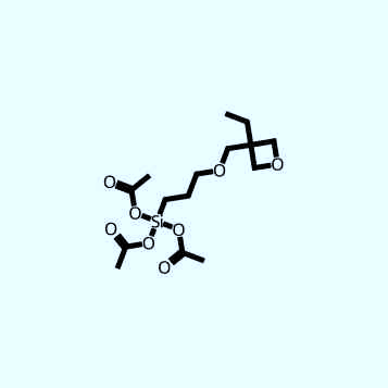 CCC1(COCCC[Si](OC(C)=O)(OC(C)=O)OC(C)=O)COC1